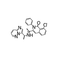 C=C(N[C@@H](C)c1cc2cccc(Cl)c2c(=O)n1-c1ccccc1)c1cnc2cccnn12